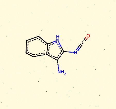 Nc1c(N=C=O)[nH]c2ccccc12